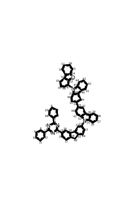 c1ccc(-c2nc(-c3ccccc3)nc(-c3ccc4c(c3)-c3cc(-n5c6ccccc6c6cc(-c7ccc8c(c7)c7ccccc7n8-c7cccc8c7oc7ccccc78)ccc65)ccc3C4)n2)cc1